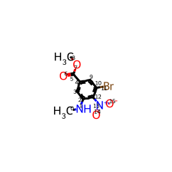 CNc1cc(C(=O)OC)cc(Br)c1[N+](=O)[O-]